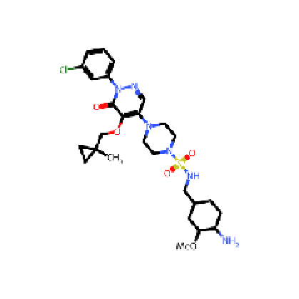 COC1CC(CNS(=O)(=O)N2CCN(c3cnn(-c4cccc(Cl)c4)c(=O)c3OCC3(C)CC3)CC2)CCC1N